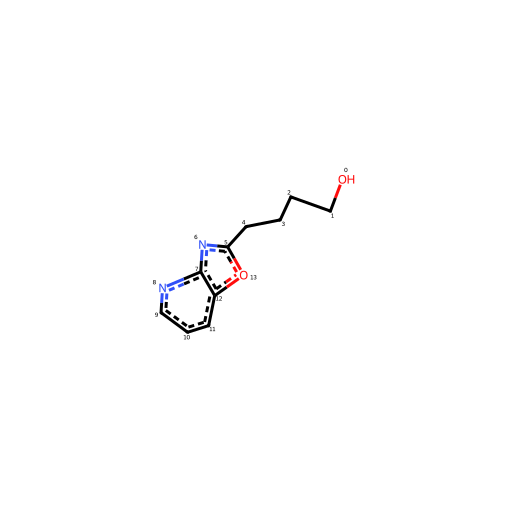 OCCCCc1nc2ncccc2o1